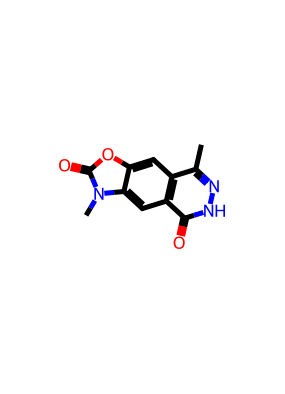 Cc1n[nH]c(=O)c2cc3c(cc12)oc(=O)n3C